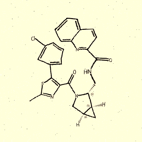 Cc1nc(C(=O)N2C[C@@H]3C[C@@H]3[C@H]2CNC(=O)c2ccc3ccccc3n2)c(-c2cccc(Cl)c2)s1